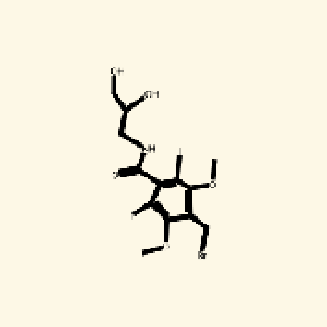 COc1c(I)c(C(=O)NCC(O)CO)c(I)c(OC)c1CBr